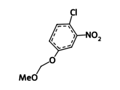 COCOc1ccc(Cl)c([N+](=O)[O-])c1